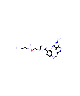 CN(Cc1cnc2nc(N)nc(N)c2n1)c1ccc(C(=O)N[C@@H](CCC(=O)NCCCN=[N+]=[N-])C(=O)OC(C)(C)C)cc1